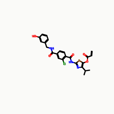 C=CC(=O)Oc1sc(NC(=O)c2ccc(C(=O)NCc3cccc(O)c3)cc2Cl)nc1C(C)C